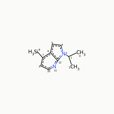 CC(C)n1ccc2c([SiH3])ccnc21